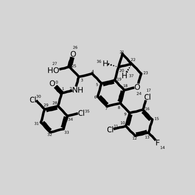 O=C(NC(Cc1ccc(-c2c(Cl)cc(F)cc2Cl)c2c1[C@H]1C[C@H]1CO2)C(=O)O)c1c(Cl)cccc1Cl